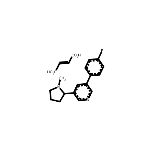 CN1CCCC1c1cncc(-c2ccc(F)cc2)c1.O=C(O)C=CC(=O)O